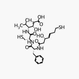 CC(C)[C@@H](NC(=O)[C@@H](CS)NC(=O)[C@@H](Cc1ccccc1)NC(=O)C[C@H](O)/C=C/CCS)[C@@H](O)CC(=O)O